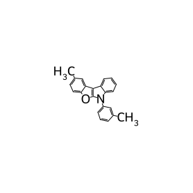 Cc1cccc(-n2c3ccccc3c3c4cc(C)ccc4oc32)c1